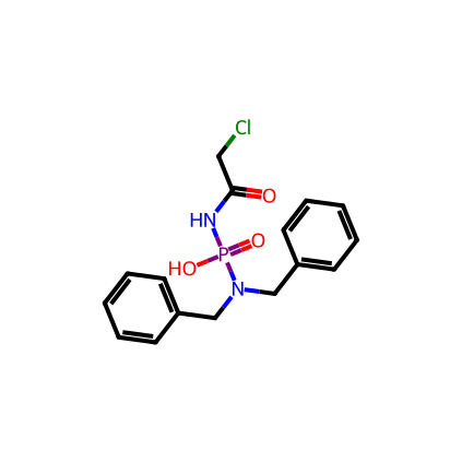 O=C(CCl)NP(=O)(O)N(Cc1ccccc1)Cc1ccccc1